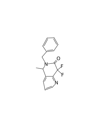 CC1c2cccnc2C(F)(F)C(=O)N1Cc1ccccc1